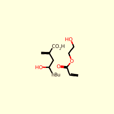 C=C(CC(O)CCCC)C(=O)O.C=CC(=O)OCCO